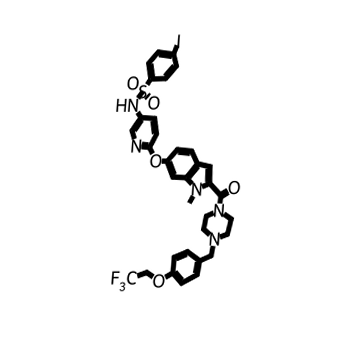 Cn1c(C(=O)N2CCN(Cc3ccc(OCC(F)(F)F)cc3)CC2)cc2ccc(Oc3ccc(NS(=O)(=O)c4ccc(I)cc4)cn3)cc21